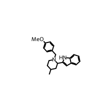 COc1ccc(CN2CCC(C)CC2c2cc3ccccc3[nH]2)cc1